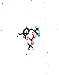 CC1C2CC(CC(OCC(=O)OC(C)(C)C)(C(F)(F)F)C(F)(F)F)C(C2)C1C